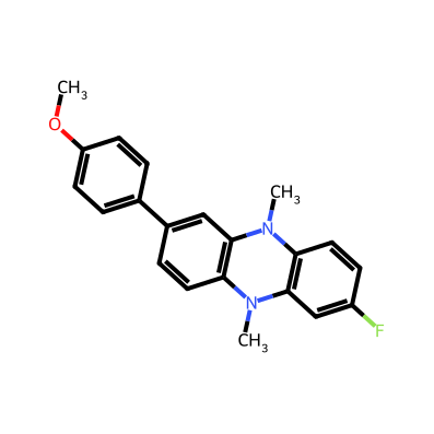 COc1ccc(-c2ccc3c(c2)N(C)c2ccc(F)cc2N3C)cc1